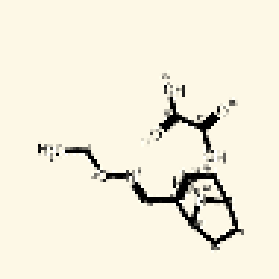 CCON=CC1=CCC2CCC1N2C.O=C(O)C(=O)O